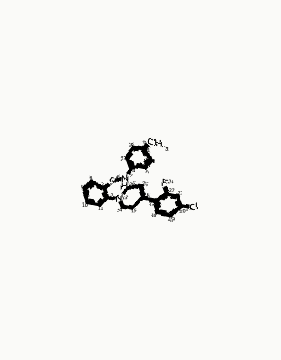 Cc1ccc(NSc2ccccc2N2CCC(c3ccc(Cl)cc3F)CC2)cc1